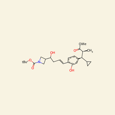 COC(=O)[C@@H](C)[C@H](c1ccc(/C=C/CC(O)C2CN(C(=O)OC(C)(C)C)C2)c(O)c1)C1CC1